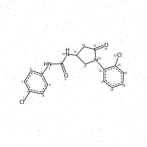 O=C(Nc1ccc(Cl)cc1)NC1CC(=O)N(c2ccccc2Cl)C1